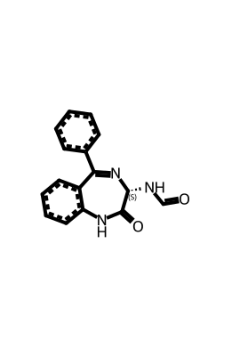 O=CN[C@H]1N=C(c2ccccc2)c2ccccc2NC1=O